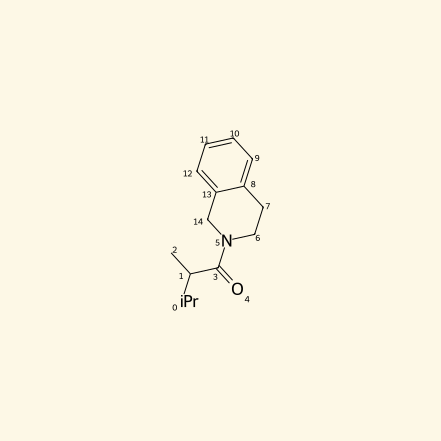 CC(C)C(C)C(=O)N1CCc2ccccc2C1